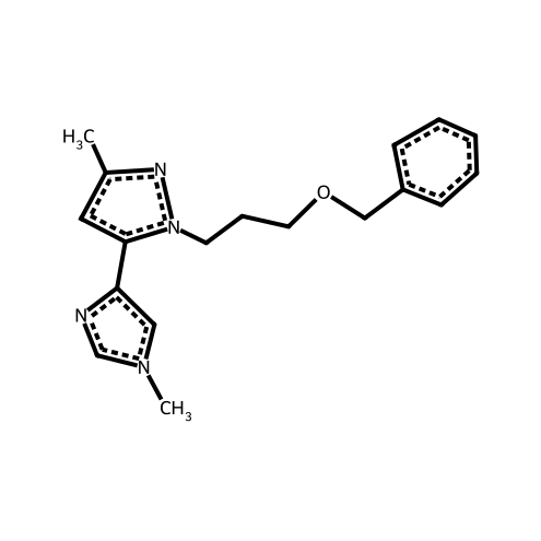 Cc1cc(-c2cn(C)cn2)n(CCCOCc2ccccc2)n1